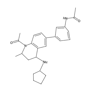 CC(=O)Nc1cccc(-c2ccc3c(c2)C(NC2CCCC2)CC(C)N3C(C)=O)c1